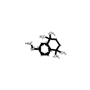 CC1(C)CCC(C)(C)c2cc([Se][SeH])ccc21